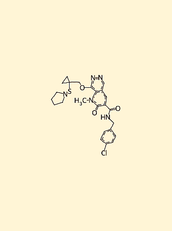 Cn1c(=O)c(C(=O)NCc2ccc(Cl)cc2)cc2cnnc(OCC3(SN4CCCC4)CC3)c21